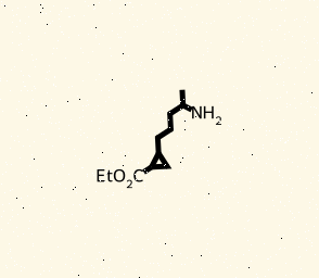 CCOC(=O)C1CC1CCCC(C)N